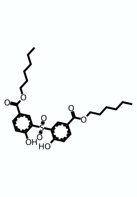 CCCCCCOC(=O)c1ccc(O)c(S(=O)(=O)c2cc(C(=O)OCCCCCC)ccc2O)c1